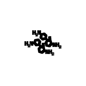 NC1=CC=CC2(c3ccc(N)cc3)SC12.NC1=CC=CC2(c3cccc(N)c3)SC12